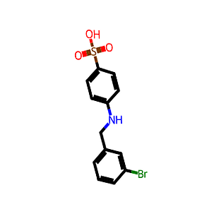 O=S(=O)(O)c1ccc(NCc2cccc(Br)c2)cc1